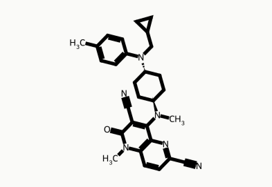 Cc1ccc(N(CC2CC2)[C@H]2CC[C@H](N(C)c3c(C#N)c(=O)n(C)c4ccc(C#N)nc34)CC2)cc1